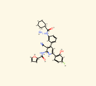 N#Cc1c(-c2cccc(NC(=O)C3CCCC[C@H]3N)c2)cc(-c2ccc(F)cc2O)nc1NC(=O)c1ccco1